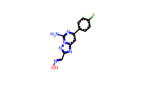 Nc1nc(-c2ccc(F)cc2)cc2nc(/C=N/O)nn12